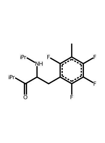 Cc1c(F)c(F)c(F)c(CC(NC(C)C)C(=O)C(C)C)c1F